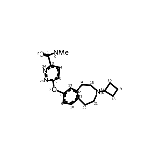 CNC(=O)c1ccc(Oc2ccc3c(c2)CCN(C2CCC2)CC3)nn1